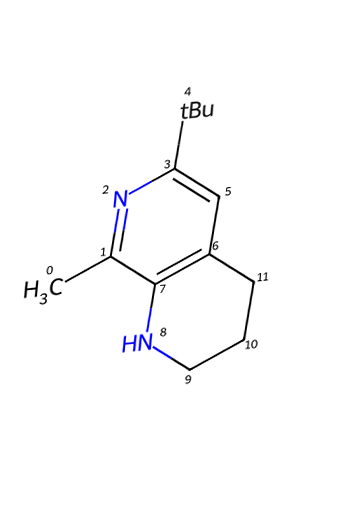 Cc1nc(C(C)(C)C)cc2c1NCCC2